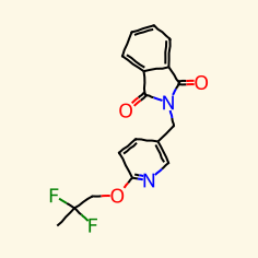 CC(F)(F)COc1ccc(CN2C(=O)c3ccccc3C2=O)cn1